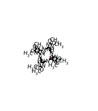 COc1nc2c(nc1OC)-c1nc3[nH]c(nc4[n+](I)c(nc5[nH]c(nc-2[n+]1I)c1nc(OC)c(OC)nc51)-c1nc(OC)c(OC)nc1-4)c1nc(OC)c(OC)nc31